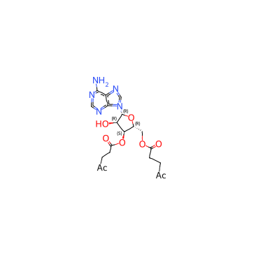 CC(=O)CCC(=O)OC[C@H]1O[C@@H](n2cnc3c(N)ncnc32)[C@H](O)[C@@H]1OC(=O)CCC(C)=O